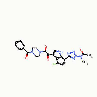 CC(=O)N(C)n1nnc(-c2ccc(F)c3c(C(=O)C(=O)N4CCN(C(=O)c5ccccc5)CC4)c[nH]c23)n1